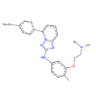 CCN(CC)CCOc1cc(Nc2nc3cccc(-c4ccc(OC)cc4)n3n2)ccc1C